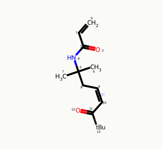 C=CC(=O)NC(C)(C)C/C=C\C(=O)C(C)(C)C